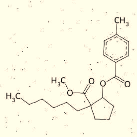 CCCCCCC1(C(=O)OC)CCCC1OC(=O)c1ccc(C)cc1